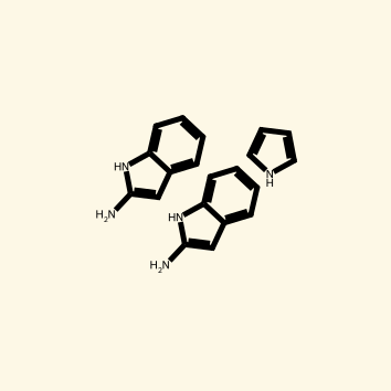 Nc1cc2ccccc2[nH]1.Nc1cc2ccccc2[nH]1.c1cc[nH]c1